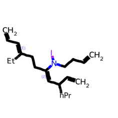 C=C/C=C(\CC)CC/C(=C/C(C=C)CCC)N(I)CCC=C